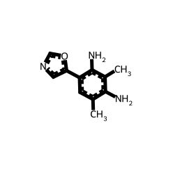 Cc1cc(-c2cnco2)c(N)c(C)c1N